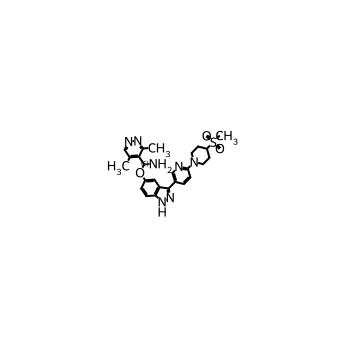 Cc1cnnc(C)c1[C@@H](N)Oc1ccc2[nH]nc(-c3ccc(N4CCC(S(C)(=O)=O)CC4)nc3)c2c1